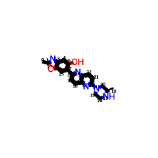 Cc1nc2cc(O)c(-c3ccc4nc(N5CCN[C@H](C)C5)ccc4n3)cc2o1